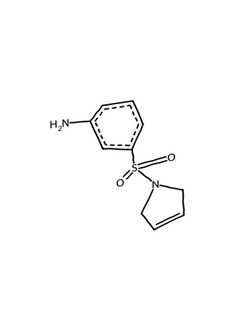 Nc1cccc(S(=O)(=O)N2CC=CC2)c1